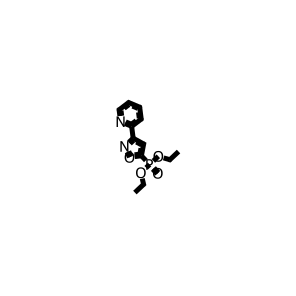 CCOP(=O)(OCC)c1cc(-c2ccccn2)no1